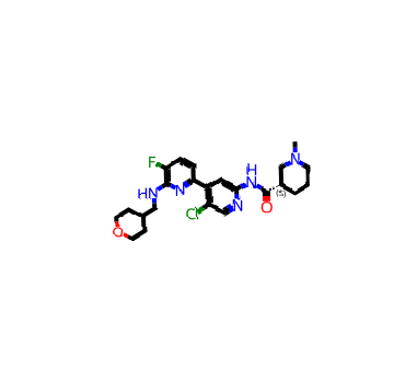 CN1CCC[C@H](C(=O)Nc2cc(-c3ccc(F)c(NCC4CCOCC4)n3)c(Cl)cn2)C1